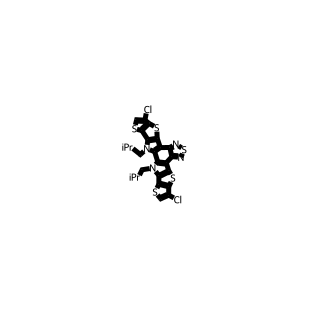 CC(C)Cn1c2c3scc(Cl)c3sc2c2c3nsnc3c3c4sc5c(Cl)csc5c4n(CC(C)C)c3c21